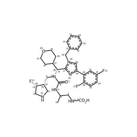 CC(CNC(=O)O)NC(=O)N(C[C@@H]1CNC[C@@H]1F)[C@@H](c1nc(-c2cc(F)ccc2F)cn1Cc1ccccc1)C1CCOCC1